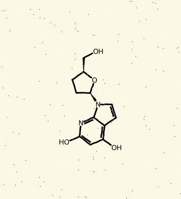 OC[C@@H]1CC[C@H](n2ccc3c(O)cc(O)nc32)O1